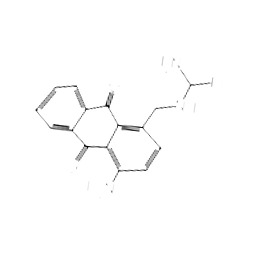 CCC(N)NCc1ccc(N)c2c1C(=O)c1ccccc1C2=O